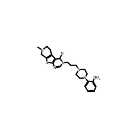 CN1CCc2c(sc3c2C([N])N(CCCN2CCN(c4ccccc4[N+](=O)[O-])CC2)C=N3)C1